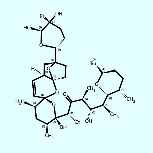 CC[C@H](C)[C@H]1CC[C@H](C)[C@H]([C@@H](C)[C@H](O)[C@H](C)C(=O)[C@H](CC)[C@@]2(O)O[C@]3(C=C[C@H]4C[C@@]5([C@H]6CC[C@](O)(CC)[C@H](O)O6)CC[C@]4(O5)O3)[C@H](C)C[C@@H]2C)O1